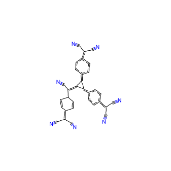 N#CC(C#N)=C1C=CC(C(C#N)=C2C(=c3ccc(=C(C#N)C#N)cc3)C2=c2ccc(=C(C#N)C#N)cc2)C=C1